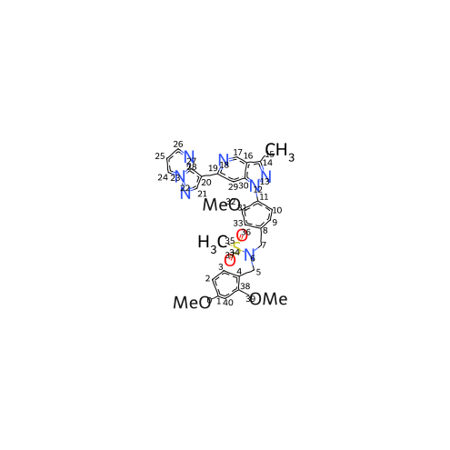 COc1ccc(CN(Cc2ccc(-n3nc(C)c4cnc(-c5cnn6cccnc56)cc43)c(OC)c2)S(C)(=O)=O)c(OC)c1